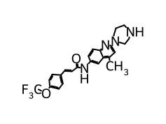 Cc1cc(N2CCCNCC2)nc2ccc(NC(=O)C=Cc3ccc(OC(F)(F)F)cc3)cc12